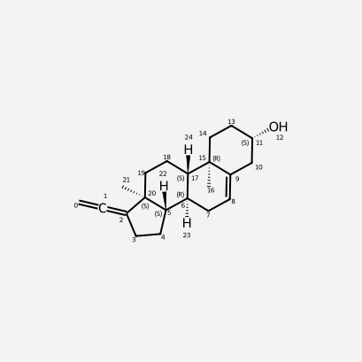 C=C=C1CC[C@H]2[C@@H]3CC=C4C[C@@H](O)CC[C@]4(C)[C@H]3CC[C@]12C